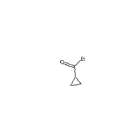 CCC(=O)[C]1CC1